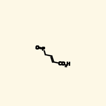 O=PCC=CC(=O)O